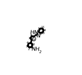 Nc1cccc(-c2ccc(-c3nc4ccccc4[nH]3)o2)c1